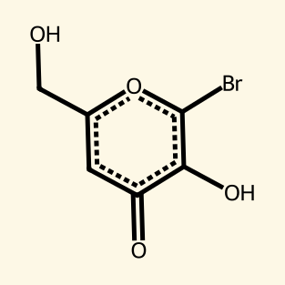 O=c1cc(CO)oc(Br)c1O